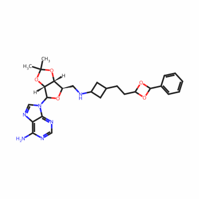 CC1(C)O[C@@H]2[C@@H](CNC3CC(CCC4OC(c5ccccc5)O4)C3)OC(n3cnc4c(N)ncnc43)[C@@H]2O1